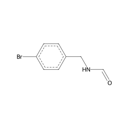 O=CNCc1ccc(Br)cc1